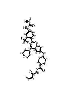 C/C=C\C(=O)NCC(=O)N1CCN(Cc2cc3c(N4CCOCC4)nc(-c4cnc(NC(=O)NC)cc4C(F)(F)F)nn3c2)CC1